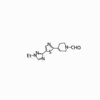 CCn1cnc(-c2cnc(C3=CCN(C=O)CC3)s2)n1